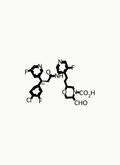 O=CC1COC(CCc2c(F)cncc2NC(=O)C[C@H](c2cncc(F)c2)c2ccc(Cl)c(F)c2)CN1C(=O)O